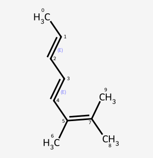 C/C=C/C=C/C(C)=C(C)C